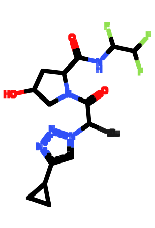 CC(C)(C)C(C(=O)N1CC(O)CC1C(=O)NC(F)C(F)F)n1cc(C2CC2)nn1